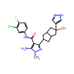 Cn1nc(C2CC3CC(O)(c4cn[nH]c4)CC3C2)c(C(=O)Nc2ccc(F)c(Cl)c2)c1N